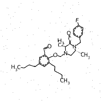 CCCCc1cc(C=O)c(OCN2C[C@@H](C)N(Cc3ccc(F)cc3)C(=C=O)[C@@H]2C)c(CCCC)c1